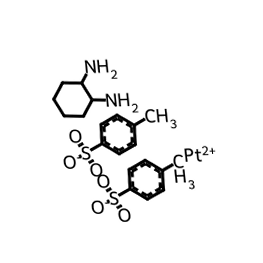 Cc1ccc(S(=O)(=O)[O-])cc1.Cc1ccc(S(=O)(=O)[O-])cc1.NC1CCCCC1N.[Pt+2]